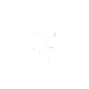 CCCC(C(=O)OCC)N1C(=O)OC(=O)C1C